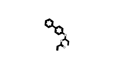 C=CC(=O)OC(CC)Oc1ccc(-c2ccccc2)cc1